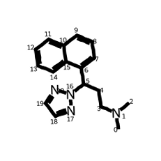 CN(C)CCC(c1cccc2ccccc12)n1nccn1